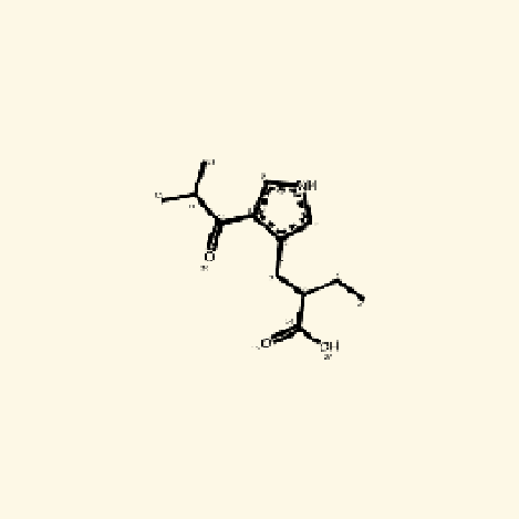 CCC(Cc1c[nH]cc1C(=O)C(C)C)C(=O)O